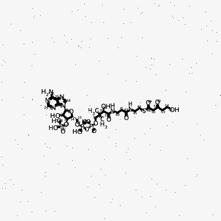 CC(C)(COP(=O)(O)OP(=O)(O)OC[C@H]1O[C@@H](n2cnc3c(N)ncnc32)[C@H](O)[C@@H]1OP(=O)(O)O)[C@@H](O)C(=O)NCCC(=O)NCCSC(=O)CC(=O)CCO